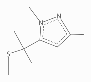 CSC(C)(C)c1cc(C)nn1C